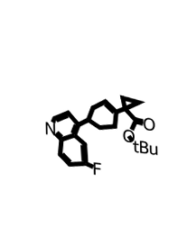 CC(C)(C)OC(=O)C1(C2=CCC(c3ccnc4ccc(F)cc34)CC2)CC1